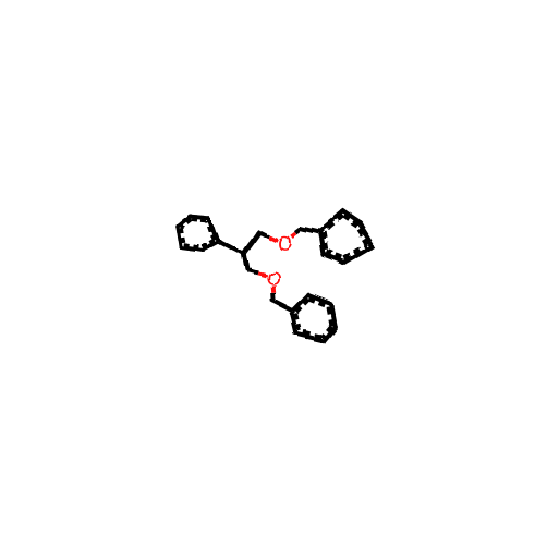 c1ccc(COCC(COCc2ccccc2)c2ccccc2)cc1